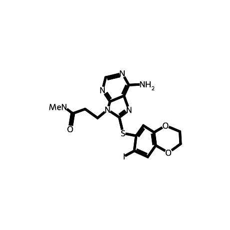 CNC(=O)CCn1c(Sc2cc3c(cc2I)OCCO3)nc2c(N)ncnc21